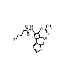 CC(=O)Oc1c(NS(=O)(=O)CCCBr)oc(C2=CC=CCC2=S)c1O